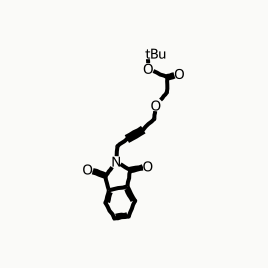 CC(C)(C)OC(=O)COCC#CCN1C(=O)c2ccccc2C1=O